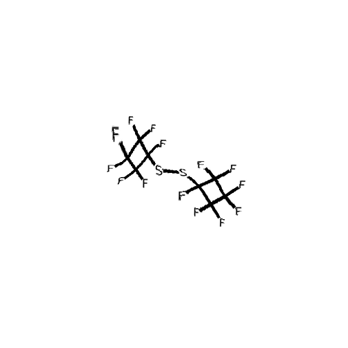 FC1(F)C(F)(F)C(F)(SSC2(F)C(F)(F)C(F)(F)C2(F)F)C1(F)F